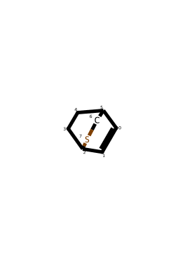 C1=CC2CCC1CS2